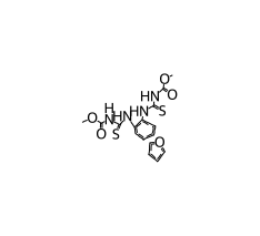 COC(=O)NC(=S)Nc1ccccc1NC(=S)NC(=O)OC.c1ccoc1